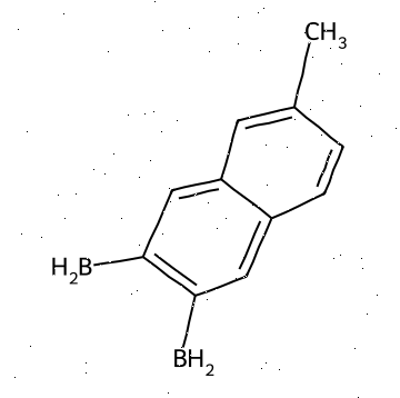 Bc1cc2ccc(C)cc2cc1B